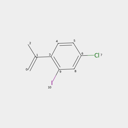 C=C(C)c1ccc(Cl)cc1I